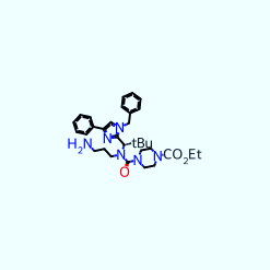 CCOC(=O)N1CCN(C(=O)N(CCCN)[C@@H](c2nc(-c3ccccc3)cn2Cc2ccccc2)C(C)(C)C)CC1